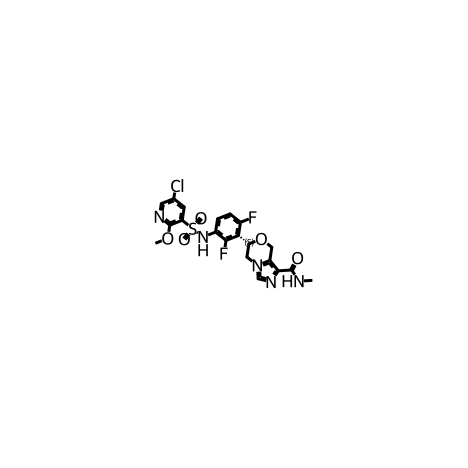 CNC(=O)c1ncn2c1CO[C@@H](c1c(F)ccc(NS(=O)(=O)c3cc(Cl)cnc3OC)c1F)C2